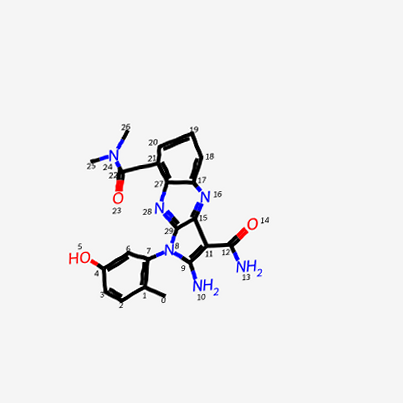 Cc1ccc(O)cc1-n1c(N)c(C(N)=O)c2nc3cccc(C(=O)N(C)C)c3nc21